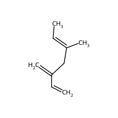 C=CC(=C)CC(C)=CC